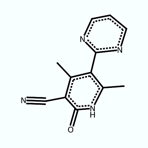 Cc1[nH]c(=O)c(C#N)c(C)c1-c1ncccn1